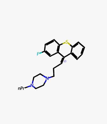 CCCN1CCN(CC/C=C2/c3ccccc3Sc3ccc(F)cc32)CC1